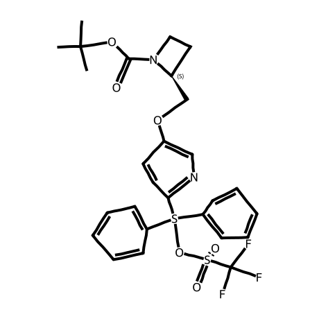 CC(C)(C)OC(=O)N1CC[C@H]1COc1ccc(S(OS(=O)(=O)C(F)(F)F)(c2ccccc2)c2ccccc2)nc1